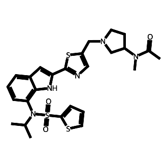 CC(=O)N(C)C1CCN(Cc2cnc(-c3cc4cccc(N(C(C)C)S(=O)(=O)c5cccs5)c4[nH]3)s2)C1